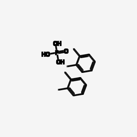 Cc1ccccc1C.Cc1ccccc1C.O=P(O)(O)O